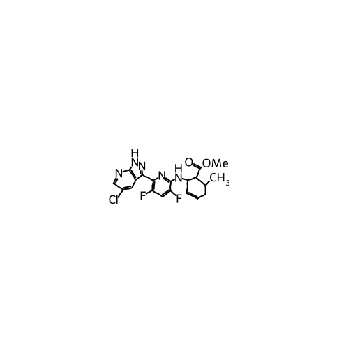 COC(=O)C1C(C)CC=CC1Nc1nc(-c2n[nH]c3ncc(Cl)cc23)c(F)cc1F